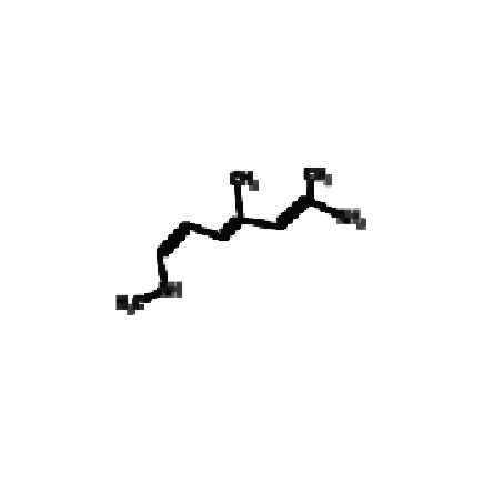 CN\C=C/C=C(C)/C=C(\C)N